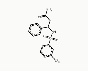 NC(=O)CC(NS(=O)(=O)c1cccc(C(F)(F)F)c1)c1ccccc1